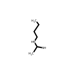 CCCCNC(C)[NH]